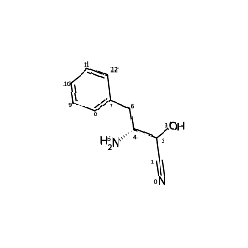 N#CC(O)[C@H](N)Cc1ccccc1